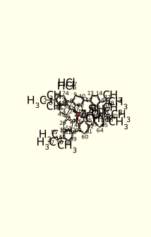 CC(C)(C)c1ccc(-c2ccc(-c3ccc(C(C)(C)C)cc3)c3c2C=C(CC2CCCCC2)[CH]3[Zr]([CH3])([CH3])(=[SiH2])[CH]2C(CC3CCCCC3)=Cc3c(-c4ccc(C(C)(C)C)cc4)ccc(-c4ccc(C(C)(C)C)cc4)c32)cc1.Cl.Cl